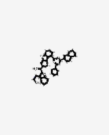 C=C(c1cnc2c(c1)oc1cccc(-c3nc(-c4ccccc4)nc(-c4ccc5ccccc5c4)n3)c12)c1oc2ccccc2c1/C=C\C